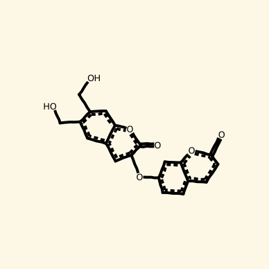 O=c1ccc2ccc(Oc3cc4cc(CO)c(CO)cc4oc3=O)cc2o1